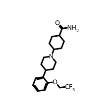 NC(=O)C1CCC(N2CCC(c3ccccc3OCC(F)(F)F)CC2)CC1